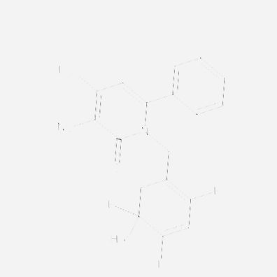 CC1(F)CC(Cn2c(-c3ccccc3)cc(C(F)(F)F)c(C#N)c2=O)=C(F)C=C1F